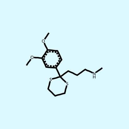 CNCCCC1(c2ccc(OC)c(OC)c2)SCCCS1